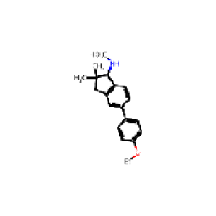 CCOc1ccc(-c2ccc3c(c2)CC(C)(C)C3NC(=O)O)cc1